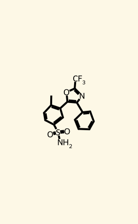 Cc1ccc(S(N)(=O)=O)cc1-c1oc(C(F)(F)F)nc1-c1ccccc1